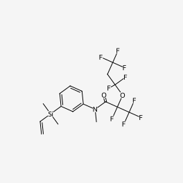 C=C[Si](C)(C)c1cccc(N(C)C(=O)C(F)(OC(F)(F)CC(F)(F)F)C(F)(F)F)c1